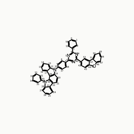 c1ccc(-c2nc(-c3ccc(-n4c5ccccc5c5c4ccc4c6ccccc6n(-c6ccccc6)c45)cc3)nc(-c3ccc4oc5ccccc5c4c3)n2)cc1